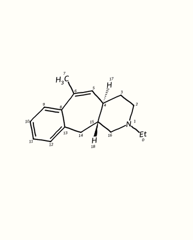 CCN1CC[C@@H]2C=C(C)c3ccccc3C[C@H]2C1